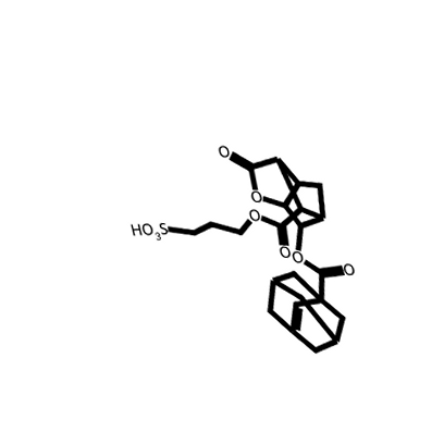 O=C1OC2C3CC(C2OC(=O)C24C=C5CC(CC(C5)C2)C4)C(C(=O)OCCCS(=O)(=O)O)C13